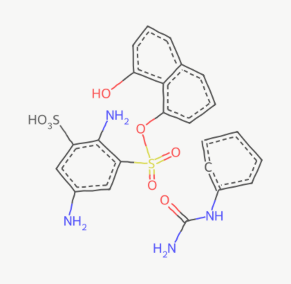 NC(=O)Nc1ccccc1.Nc1cc(S(=O)(=O)O)c(N)c(S(=O)(=O)Oc2cccc3cccc(O)c23)c1